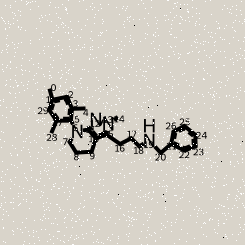 Cc1cc(C)c(N2CCCc3c2nn(C)c3CCCNCc2ccccc2)c(C)c1